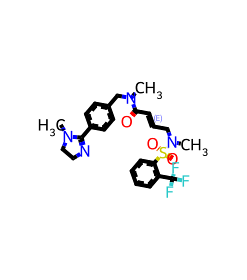 CN(Cc1ccc(C2=NCCN2C)cc1)C(=O)/C=C/CN(C)S(=O)(=O)c1ccccc1C(F)(F)F